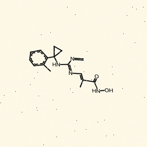 C=N/C(=N\C=C(/C)C(=O)NO)NC1(c2ccccc2C)CC1